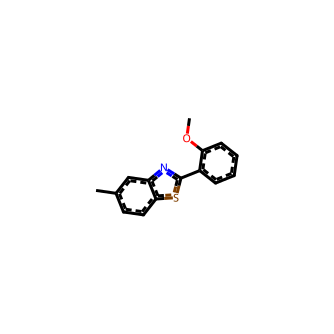 COc1ccccc1-c1nc2cc(C)ccc2s1